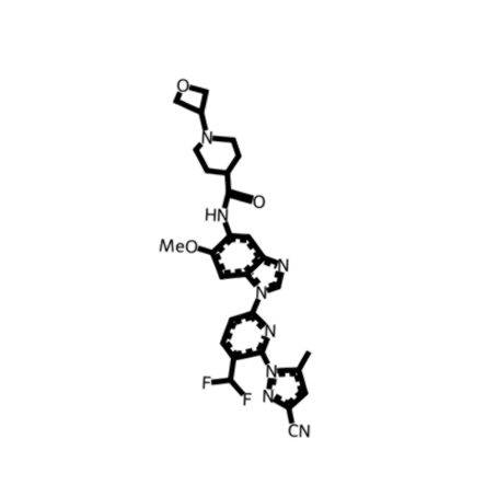 COc1cc2c(cc1NC(=O)C1CCN(C3COC3)CC1)ncn2-c1ccc(C(F)F)c(-n2nc(C#N)cc2C)n1